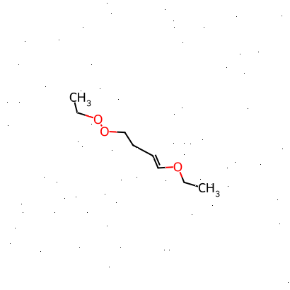 CCOC=CCCOOCC